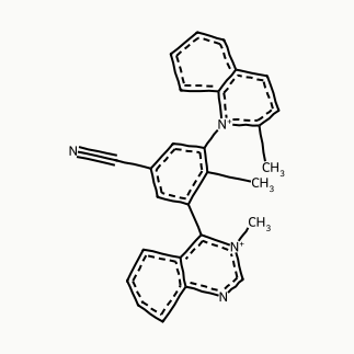 Cc1c(-c2c3ccccc3nc[n+]2C)cc(C#N)cc1-[n+]1c(C)ccc2ccccc21